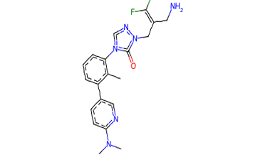 Cc1c(-c2ccc(N(C)C)nc2)cccc1-n1cnn(CC(CN)=C(F)F)c1=O